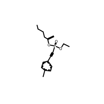 C=C(CCCC)OP(=O)(C#Cc1ccc(C)cc1)OCC